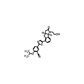 CC(C)Oc1ccc(-c2ncc(-c3cccc4c3C[C@@H]3CC(=O)N(CCO)[C@H]43)s2)cc1C#N